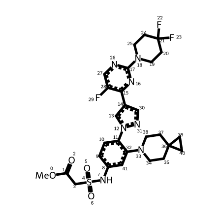 COC(=O)CS(=O)(=O)Nc1ccc(-n2cc(-c3nc(N4CCC(F)(F)CC4)ncc3F)cn2)c(N2CCC3(CC2)CC3)c1